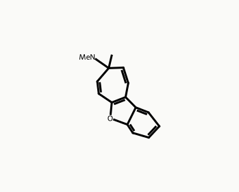 CNC1(C)C=Cc2oc3ccccc3c2C=C1